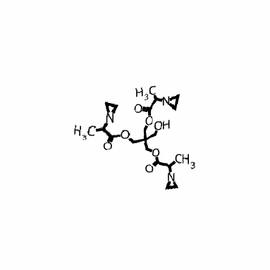 CC(C(=O)OCC(CO)(COC(=O)C(C)N1CC1)COC(=O)C(C)N1CC1)N1CC1